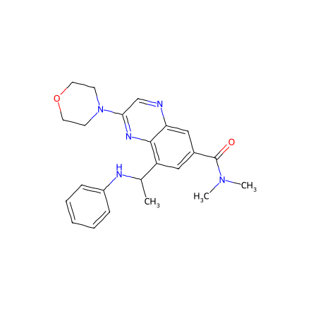 CC(Nc1ccccc1)c1cc(C(=O)N(C)C)cc2ncc(N3CCOCC3)nc12